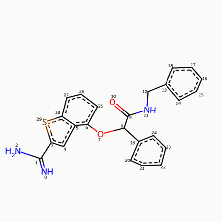 N=C(N)c1cc2c(OC(C(=O)NCc3ccccc3)c3ccccc3)cccc2s1